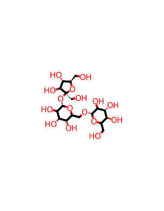 OCC1O[C@H](OCC2O[C@@H](O[C@]3(CO)O[C@H](CO)[C@@H](O)C3O)C(O)[C@H](O)[C@@H]2O)C(O)[C@H](O)[C@H]1O